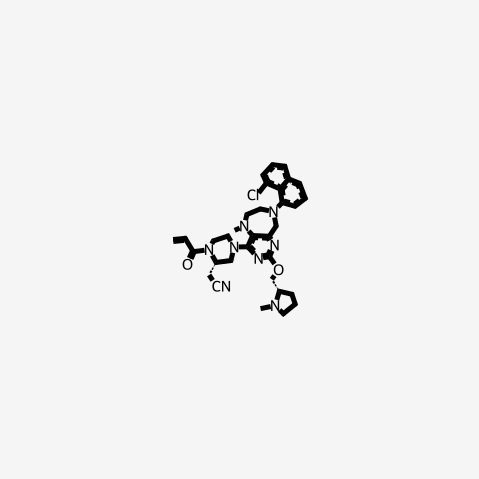 C=CC(=O)N1CCN(c2nc(OC[C@@H]3CCCN3C)nc3c2N(C)CCN(c2cccc4cccc(Cl)c24)C3)C[C@@H]1CC#N